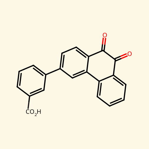 O=C(O)c1cccc(-c2ccc3c(c2)-c2ccccc2C(=O)C3=O)c1